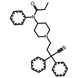 CCC(=O)N(c1ccccc1)C1CCN(CCC(C#N)(c2ccccc2)c2ccccc2)CC1